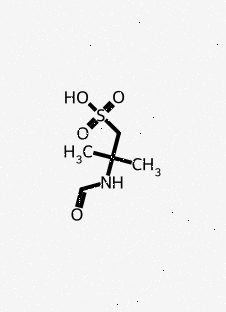 CC(C)(CS(=O)(=O)O)NC=O